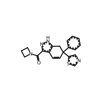 O=C(c1n[nH]c2c1C=CC(c1ccccc1)(c1cncs1)C2)N1CCC1